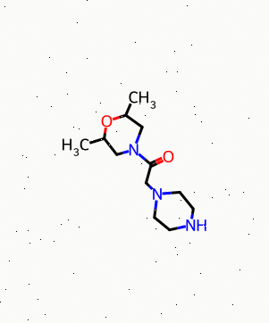 CC1CN(C(=O)CN2CCNCC2)CC(C)O1